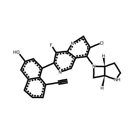 C#Cc1cccc2cc(O)cc(-c3ncc4c(N5C[C@H]6NCC[C@H]65)c(Cl)cnc4c3F)c12